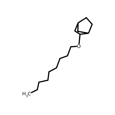 CCCCCCCCCOC1CC2CCC1C2